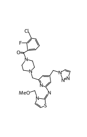 COCn1ccsc1=Nc1cc(Cn2ccnn2)cc(CN2CCN(C(=O)c3cccc(Cl)c3F)CC2)n1